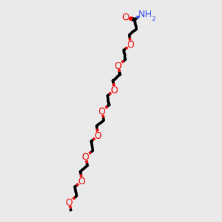 COCCOCCOCCOCCOCCOCCOCCOCCC(N)=O